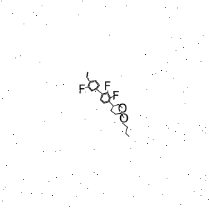 C=Cc1ccc(-c2ccc(C3CCC(OCCCC)OC3)c(F)c2F)cc1F